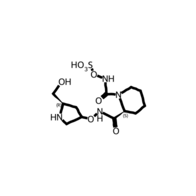 O=C(NOC1CN[C@@H](CO)C1)[C@@H]1CCCCN1C(=O)NOS(=O)(=O)O